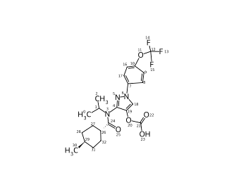 CC(C)N(c1nn(-c2ccc(OC(F)(F)F)cc2)cc1OC(=O)O)C(=O)[C@H]1CC[C@H](C)CC1